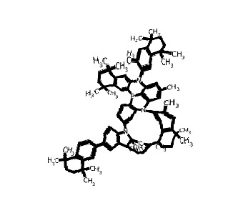 Cc1cc2c3c(c1)N(c1cc4c(cc1C)C(C)(C)CCC4(C)C)c1cc4c(cc1B3c1ccc3cc1N2c1cc2c(cc1C)C(C)(C)CCC2(C)C1CCC2(C)c5cc(-c6ccc7c(c6)C(C)(C)CCC7(C)C)ccc5N3C2(C)C1)C(C)(C)CCC4(C)C